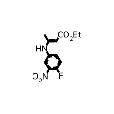 CCOC(=O)C=C(C)Nc1ccc(F)c([N+](=O)[O-])c1